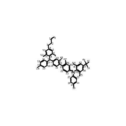 CCCCc1cc(C)c(C(c2ccc(C)cc2)c2ccc(-c3ccc(N(c4ccc(C)cc4)c4c(C)cc(C(C)(C)C)cc4C)cc3C)c(C)c2)c(C)c1